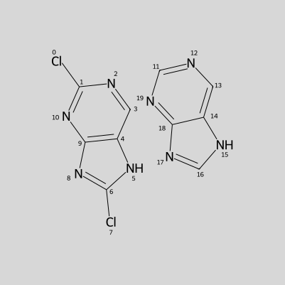 Clc1ncc2[nH]c(Cl)nc2n1.c1ncc2[nH]cnc2n1